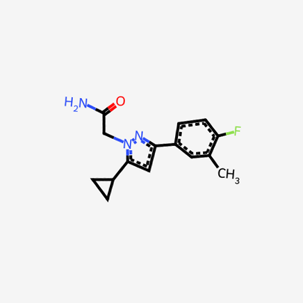 Cc1cc(-c2cc(C3CC3)n(CC(N)=O)n2)ccc1F